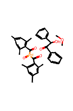 COC.Cc1cc(C)c(C(=O)[PH](=O)C(=O)c2c(C)cc(C)cc2C)c(C)c1.O=C(c1ccccc1)C(O)c1ccccc1